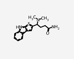 CN(C)C(CCC(N)=O)c1cc2c([nH]c3ccccc32)s1